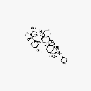 CO[C@@H]1C[C@@]23COC[C@@](C)([C@@H]2CC[C@H]2C3=CC[C@@]3(C)[C@H](C(=O)OCc4ccccc4)[C@@](C)([C@H](C)C(C)C)CC[C@]23C)[C@H]1OC[C@H](N(C)S(=O)(=O)c1ccc(C)cc1)C(C)(C)C